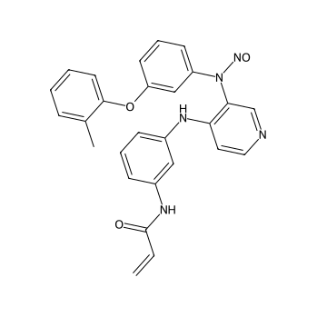 C=CC(=O)Nc1cccc(Nc2ccncc2N(N=O)c2cccc(Oc3ccccc3C)c2)c1